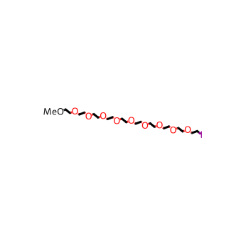 COCCOCCOCCOCCOCCOCCOCCOCCOCCOCCI